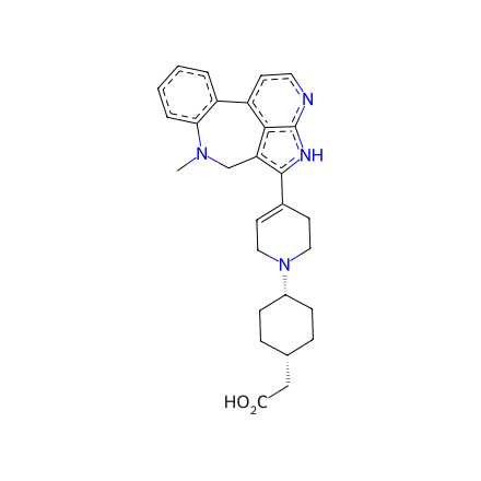 CN1Cc2c(C3=CCN([C@H]4CC[C@@H](CC(=O)O)CC4)CC3)[nH]c3nccc(c23)-c2ccccc21